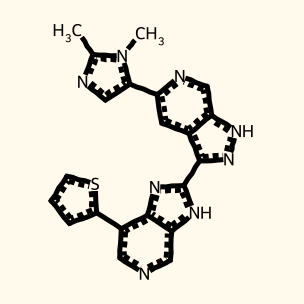 Cc1ncc(-c2cc3c(-c4nc5c(-c6cccs6)cncc5[nH]4)n[nH]c3cn2)n1C